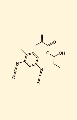 C=C(C)C(=O)OC(O)CC.Cc1ccc(N=C=O)cc1N=C=O